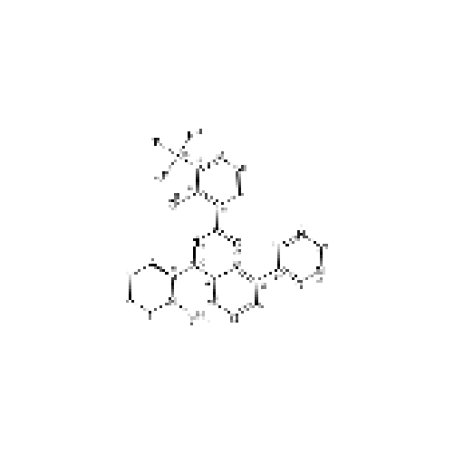 CN1CCCC[C@H]1[C@@H](NC(=O)c1cccc(C(F)(F)F)c1Cl)c1cccc(-c2cncnc2)c1